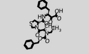 CCN(C(=O)OCc1ccccc1)[C@@H](C)C(=O)N1CSC[C@H]1C(=O)N[C@@H](Cc1ccccc1)C(=O)C(=O)O